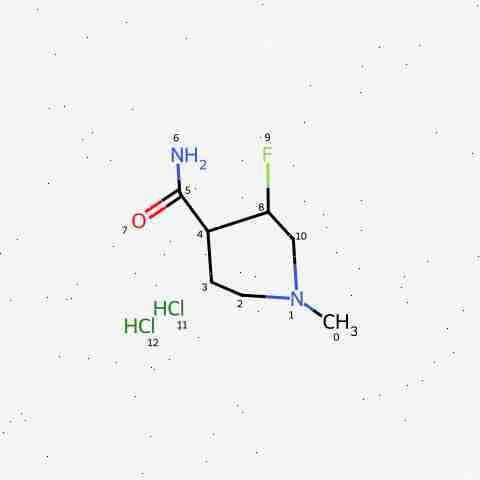 CN1CCC(C(N)=O)C(F)C1.Cl.Cl